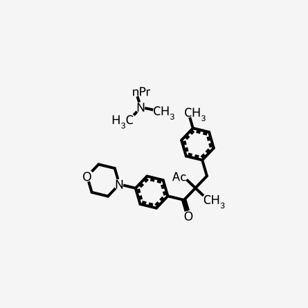 CC(=O)C(C)(Cc1ccc(C)cc1)C(=O)c1ccc(N2CCOCC2)cc1.CCCN(C)C